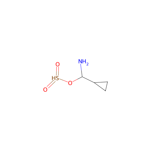 NC(O[SH](=O)=O)C1CC1